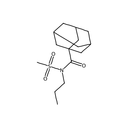 CCCN(C(=O)C12CC3CC(CC(C3)C1)C2)S(C)(=O)=O